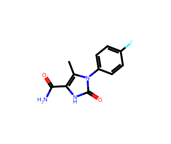 Cc1c(C(N)=O)[nH]c(=O)n1-c1ccc(F)cc1